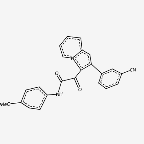 COc1ccc(NC(=O)C(=O)c2c(-c3cccc(C#N)c3)cc3ccccn23)cc1